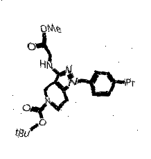 COC(=O)CNc1nn(-c2ccc(C(C)C)cc2)c2c1CN(C(=O)OC(C)(C)C)CC2